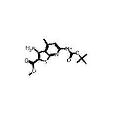 COC(=O)c1sc2nc(NC(=O)OC(C)(C)C)cc(C)c2c1N